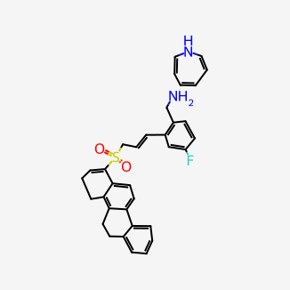 C1=CC=CNC=C1.NCc1ccc(F)cc1C=CCS(=O)(=O)C1=CCCc2c1ccc1c2CCc2ccccc2-1